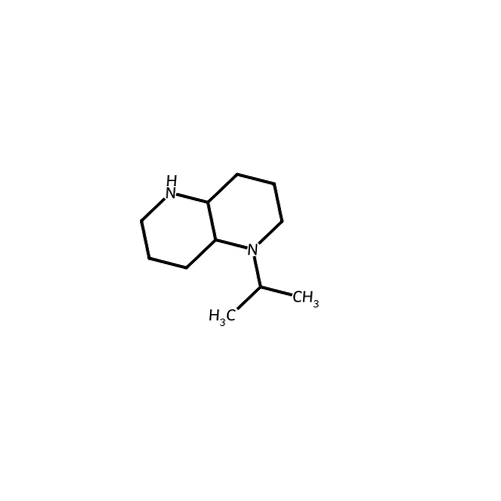 CC(C)N1CCCC2NCCCC21